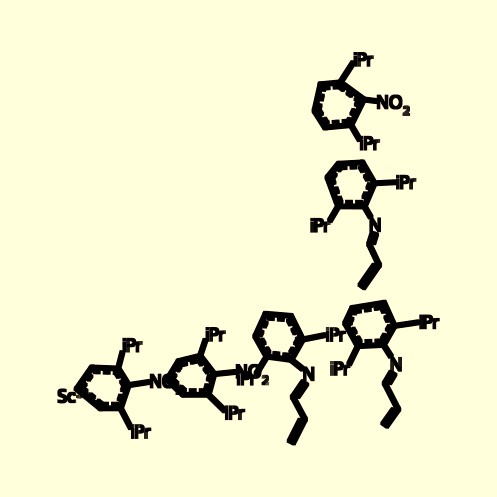 C=CC=Nc1c(C(C)C)cccc1C(C)C.C=CC=Nc1c(C(C)C)cccc1C(C)C.C=CC=Nc1c(C(C)C)cccc1C(C)C.CC(C)c1cccc(C(C)C)c1[N+](=O)[O-].CC(C)c1cccc(C(C)C)c1[N+](=O)[O-].CC(C)c1cccc(C(C)C)c1[N+](=O)[O-].[Sc+3]